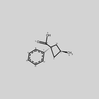 C[C@H]1C[C@](C(=O)O)(c2ccccc2)C1